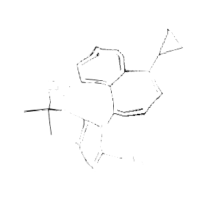 CC(C)(Sc1nnc(C(F)(F)F)n1-c1ccc(C2CC2)c2ccccc12)C(=O)O